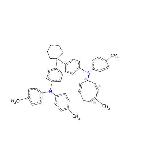 CC1=C/CC#C[C@@H](N(c2ccc(C)cc2)c2ccc(C3(c4ccc(N(c5ccc(C)cc5)c5ccc(C)cc5)cc4)CCCCC3)cc2)/C=C\1